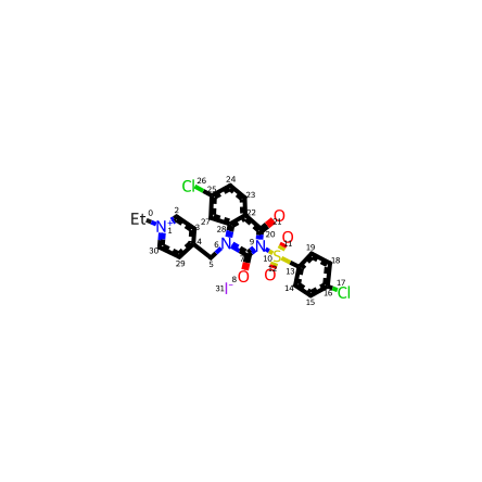 CC[n+]1ccc(Cn2c(=O)n(S(=O)(=O)c3ccc(Cl)cc3)c(=O)c3ccc(Cl)cc32)cc1.[I-]